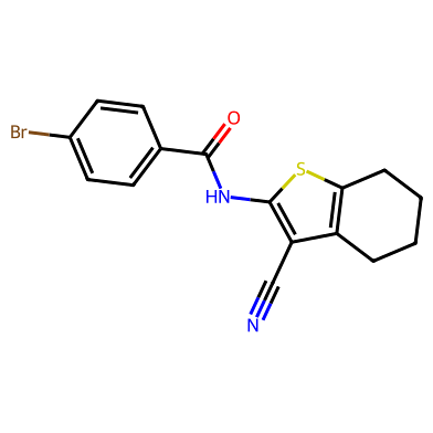 N#Cc1c(NC(=O)c2ccc(Br)cc2)sc2c1CCCC2